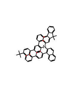 CC(C)(C)c1ccc(-c2ccc(N(c3ccc4c(c3)C(C)(C)c3ccccc3-4)c3ccc4ccccc4c3-c3ccc(-c4ccccc4)cc3)c(-c3ccccc3)c2)cc1